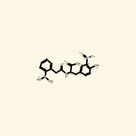 O=C(Cc1ccccc1B(O)O)NC(Cc1ccc(O)c([N+](=O)[O-])c1)C(=O)O